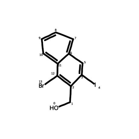 OCc1c(I)cc2ccccc2c1Br